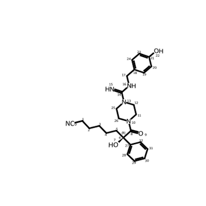 N#CCCCCC[C@](O)(C(=O)N1CCN(C(=N)NCc2ccc(O)cc2)CC1)c1ccccc1